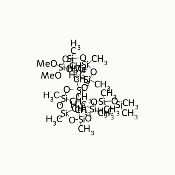 CO[Si](OC)(OC)O[Si](C)(C)O[Si](C)(C)O[Si](C)(C)O[Si](C)(C)O[Si](C)(C)O[Si](C)(C)O[Si](C)(C)O[Si](C)(C)O[Si](C)(C)O[Si](C)(C)C